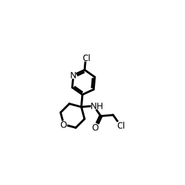 O=C(CCl)NC1(c2ccc(Cl)nc2)CCOCC1